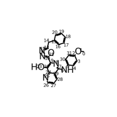 COc1ccc(Nc2nc(-c3nnc(Cc4ccccc4)o3)c(O)c3ncccc23)cc1